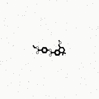 CCOC(=O)c1ccc(OC(=O)c2ccc3c(c2)C(COC)CCC3(C)C)cc1